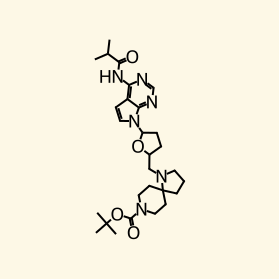 CC(C)C(=O)Nc1ncnc2c1ccn2C1CCC(CN2CCCC23CCN(C(=O)OC(C)(C)C)CC3)O1